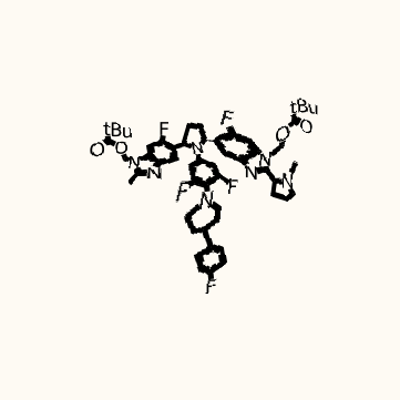 Cc1nc2cc(C3CC[C@H](c4cc5nc(C6CCCN6C)n(COC(=O)C(C)(C)C)c5cc4F)N3c3cc(F)c(N4CCC(c5ccc(F)cc5)CC4)c(F)c3)c(F)cc2n1COC(=O)C(C)(C)C